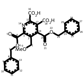 COCc1c(C(=O)OCc2ccccc2)nc(C(=O)O)c(C(=O)O)c1C(=O)OCc1ccccc1